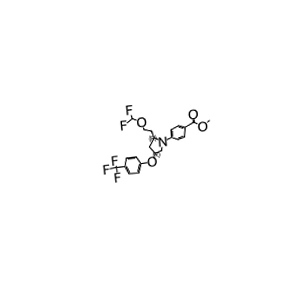 COC(=O)c1ccc(N2C[C@H](Oc3ccc(C(F)(F)F)cc3)C[C@H]2CCOC(F)F)cc1